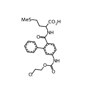 CSCCC(NC(=O)c1ccc(NC(=O)OCCCl)cc1-c1ccccc1)C(=O)O